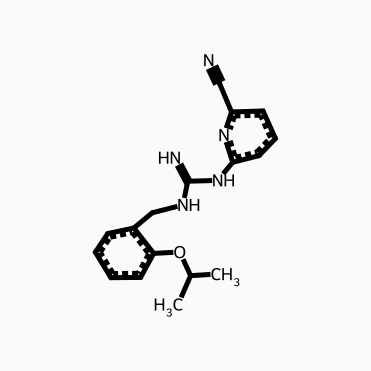 CC(C)Oc1ccccc1CNC(=N)Nc1cccc(C#N)n1